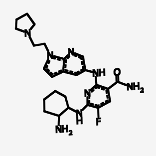 NC(=O)c1cc(F)c(NC2CCCCC2N)nc1Nc1cnc2c(ccn2CCN2CCCC2)c1